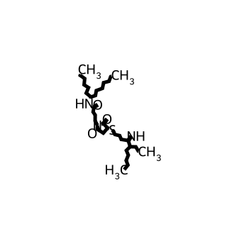 CCCCCCCC(CCCCCC)NC(=O)CCCN1C(=O)CC(SCCCC(=N)C(CCC)CCCCC)C1=O